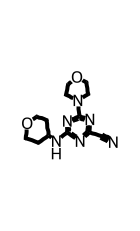 N#Cc1nc(NC2CCOCC2)nc(N2CCOCC2)n1